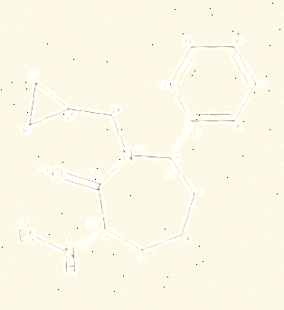 CCN[C@H]1CCC[C@@H](c2ccccc2)N(CC2CC2)C1=O